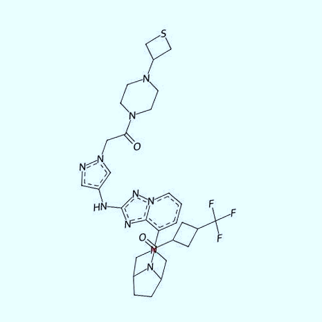 O=C(Cn1cc(Nc2nc3c(N4CC5CCC(C4)N5C(=O)C4CC(C(F)(F)F)C4)cccn3n2)cn1)N1CCN(C2CSC2)CC1